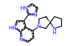 c1c[nH]c(-c2c[nH]c3nccc(N4CC[C@]5(CCCN5)C4)c23)n1